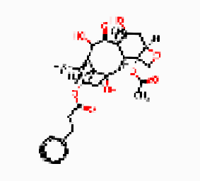 CC(=O)O[C@@]12CO[C@@H]1C[C@H](O)[C@@]1(C)C(=O)[C@H](O)C3=C(C)[C@@H](OC(=O)CCc4cc#ccc4)C[C@@](O)(C[C@H]21)C3(C)C